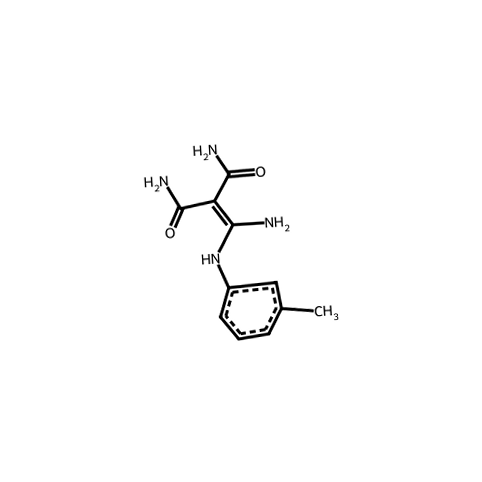 Cc1cccc(NC(N)=C(C(N)=O)C(N)=O)c1